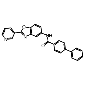 O=C(Nc1ccc2oc(-c3cccnc3)nc2c1)c1ccc(-c2ccccc2)cc1